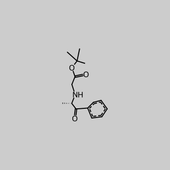 C[C@H](NCC(=O)OC(C)(C)C)C(=O)c1ccccc1